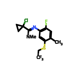 CN/C(=N\c1cc(SCC(F)(F)F)c(C)cc1F)C1(Cl)CC1